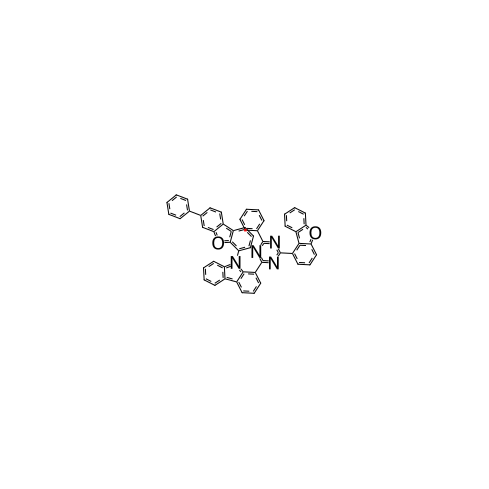 c1ccc(-c2ccc3c(c2)oc2c(-n4c5ccccc5c5cccc(-c6nc(-c7ccccc7)nc(-c7cccc8oc9ccccc9c78)n6)c54)cccc23)cc1